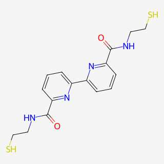 O=C(NCCS)c1cccc(-c2cccc(C(=O)NCCS)n2)n1